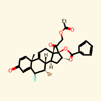 CCC(=O)OCC(=O)[C@]1(OC(=O)c2ccccc2)[C@H](C)C[C@H]2[C@H]3C(=CC[C@@]21C)[C@@]1(C)C=CC(=O)C=C1[C@H](F)[C@H]3Br